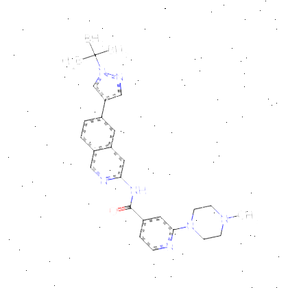 BC(B)(B)n1cc(-c2ccc3cnc(NC(=O)c4ccnc(N5CCN(C)CC5)c4)cc3c2)cn1